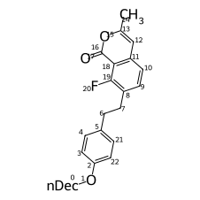 CCCCCCCCCCOc1ccc(CCc2ccc3cc(C)oc(=O)c3c2F)cc1